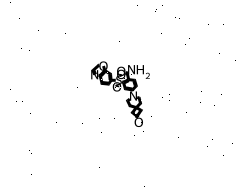 NC(=O)c1ccc(N2CCC3(CC2)CC(=O)C3)cc1S(=O)(=O)c1ccc2c(c1)OCC=N2